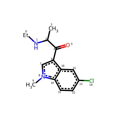 CCNC(C)C(=O)c1cn(C)c2ccc(Cl)cc12